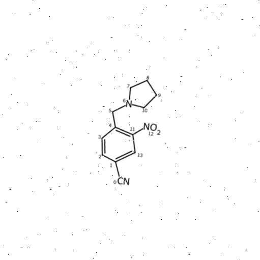 N#Cc1ccc(CN2CCCC2)c([N+](=O)[O-])c1